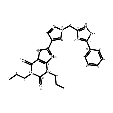 CCCn1c(=O)c2[nH]c(-c3cnn(Cc4noc(-c5ccccc5)n4)c3)nc2n(CCC)c1=O